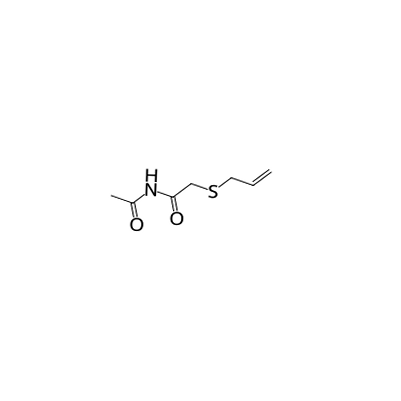 C=CCSCC(=O)NC(C)=O